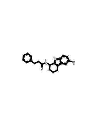 O=C(CCc1ccccc1)NC1CCCc2c1[nH]c1ccc(Br)cc21